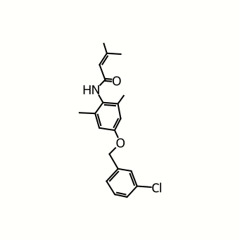 CC(C)=CC(=O)Nc1c(C)cc(OCc2cccc(Cl)c2)cc1C